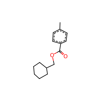 Cc1ccc(C(=O)OCC2CCCCC2)cc1